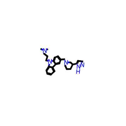 CN(C)CCCn1c2ccccc2c2cc(CN3CCCC(c4ccn[nH]4)C3)ccc21